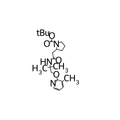 Cc1cccnc1OCC(C)(C)NC(=O)CC1CCCN1C(=O)OC(C)(C)C